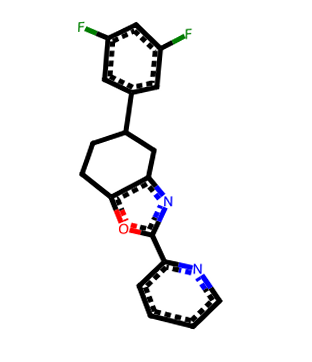 Fc1cc(F)cc(C2CCc3oc(-c4ccccn4)nc3C2)c1